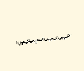 [N-]=[N+]=NCCOCCOCCOCCOCCOCCN